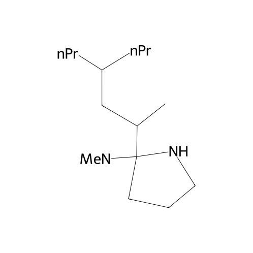 CCCC(CCC)CC(C)C1(NC)CCCN1